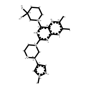 Cc1nc2nc(N3CCO[C@H](c4cnn(C)c4)C3)nc(N3CCCC(F)(F)C3)c2nc1C